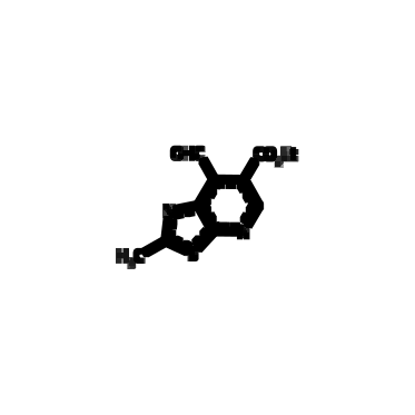 CCOC(=O)c1cnc2sc(C)nc2c1C=O